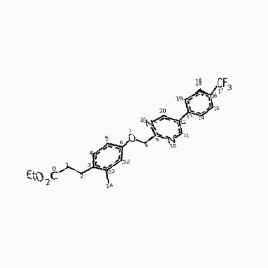 CCOC(=O)CCc1ccc(OCc2ncc(-c3ccc(C(F)(F)F)cc3)cn2)cc1C